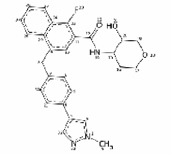 Cn1cc(-c2ccc(Cc3cc(C(=O)NC4CCOCC4O)c(F)c4ccccc34)cc2)cn1